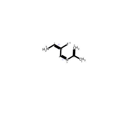 C=C(C)/N=C\C(F)=C/N